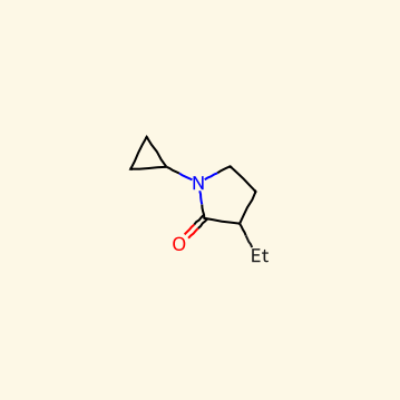 CCC1CCN(C2CC2)C1=O